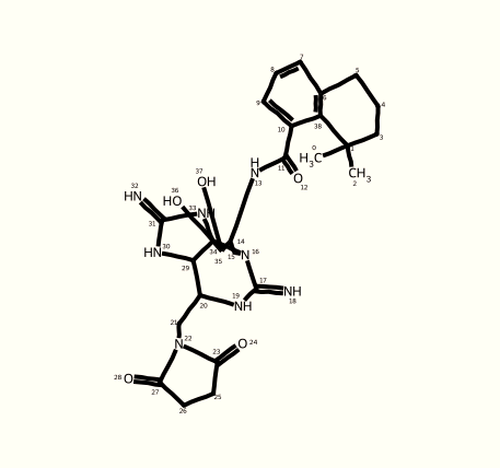 CC1(C)CCCc2cccc(C(=O)NC3CN4C(=N)NC(CN5C(=O)CCC5=O)C5NC(=N)NC54C3(O)O)c21